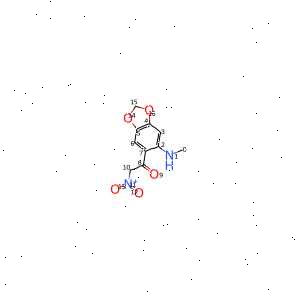 CNc1cc2c(cc1C(=O)C[N+](=O)[O-])OCO2